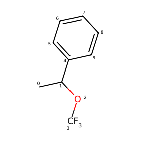 CC(OC(F)(F)F)c1ccccc1